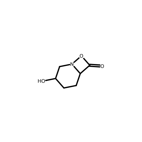 O=C1ON2CC(O)CCC12